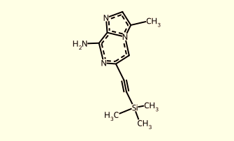 Cc1cnc2c(N)nc(C#C[Si](C)(C)C)cn12